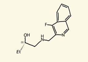 CC[C@H](O)CNCc1ncc2ccccc2c1F